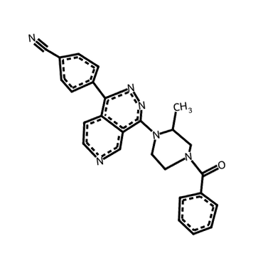 CC1CN(C(=O)c2ccccc2)CCN1c1nnc(-c2ccc(C#N)cc2)c2ccncc12